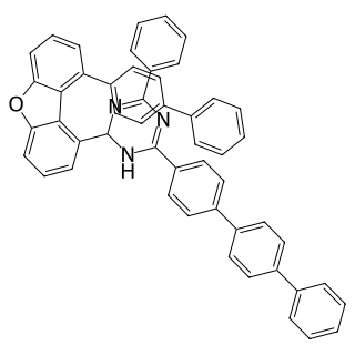 c1ccc(C2=NC(c3cccc4oc5cccc(-c6ccc(-c7ccccc7)cc6)c5c34)NC(c3ccc(-c4ccc(-c5ccccc5)cc4)cc3)=N2)cc1